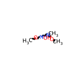 CCCOCCNCC(O)CN(C)CCOCC